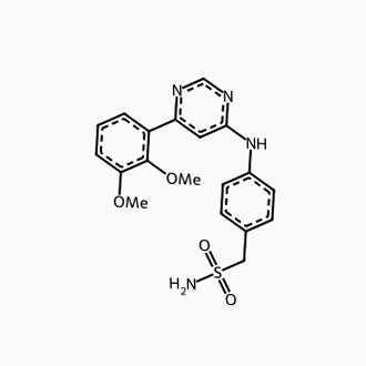 COc1cccc(-c2cc(Nc3ccc(CS(N)(=O)=O)cc3)ncn2)c1OC